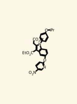 CCOC(=O)Cc1c(C(=O)OCC)c2cc(Oc3ccc([N+](=O)[O-])cn3)ccc2n1-c1ccc(OC(C)C)cc1